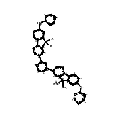 CCCCC1(CCCC)c2cc(Nc3ccccc3)ccc2-c2ccc(-c3cccc(-c4ccc5c(c4)C(CCCC)(CCCC)c4cc(Nc6ccccc6)ccc4-5)c3)cc21